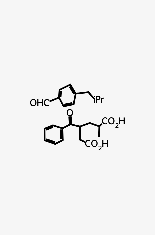 CC(C)Cc1ccc(C=O)cc1.CC(CC(CC(=O)O)C(=O)c1ccccc1)C(=O)O